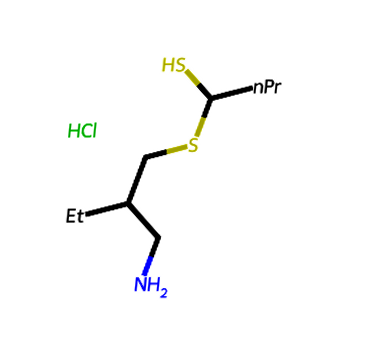 CCCC(S)SCC(CC)CN.Cl